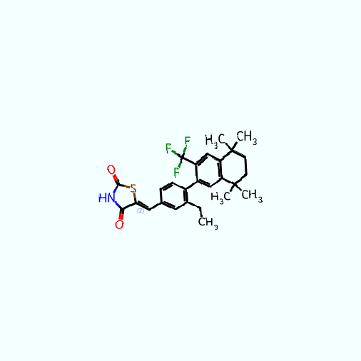 CCc1cc(/C=C2\SC(=O)NC2=O)ccc1-c1cc2c(cc1C(F)(F)F)C(C)(C)CCC2(C)C